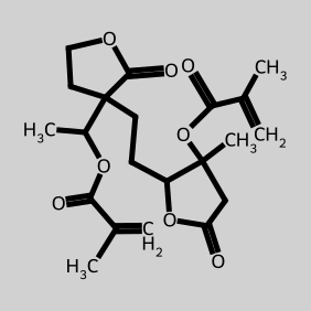 C=C(C)C(=O)OC(C)C1(CCC2OC(=O)CC2(C)OC(=O)C(=C)C)CCOC1=O